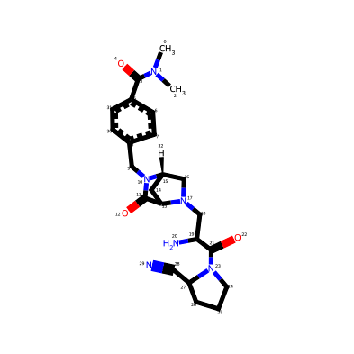 CN(C)C(=O)c1ccc(CN2C(=O)C3C[C@H]2CN3CC(N)C(=O)N2CCCC2C#N)cc1